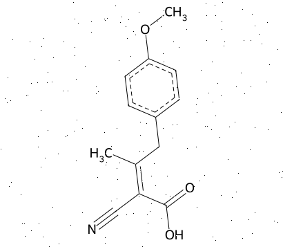 COc1ccc(CC(C)=C(C#N)C(=O)O)cc1